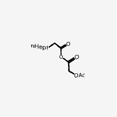 CCCCCCCCC(=O)OC(=O)COC(C)=O